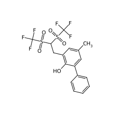 Cc1cc(CC(S(=O)(=O)C(F)(F)F)S(=O)(=O)C(F)(F)F)c(O)c(-c2ccccc2)c1